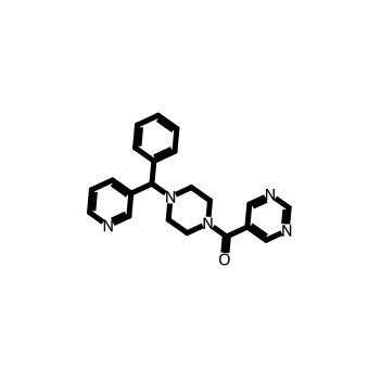 O=C(c1cncnc1)N1CCN(C(c2ccccc2)c2cccnc2)CC1